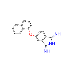 N=C1NC(=N)c2cc(Oc3cccc4ccccc34)ccc21